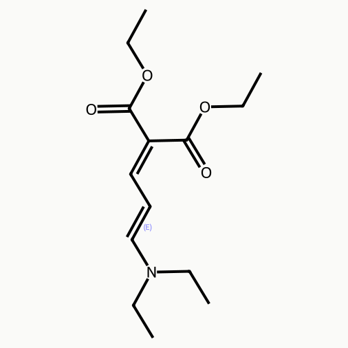 CCOC(=O)C(=C/C=C/N(CC)CC)C(=O)OCC